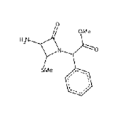 COC(=O)C(c1ccccc1)N1C(=O)C(N)C1SC